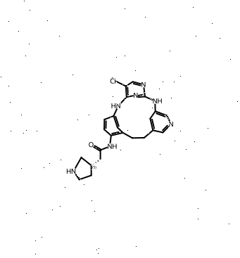 O=C(C[C@@H]1CCNC1)Nc1ccc2cc1CCc1cncc(c1)Nc1ncc(Cl)c(n1)N2